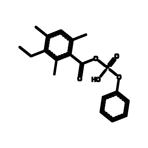 CCc1c(C)cc(C)c(C(=O)OP(=O)(O)Oc2ccccc2)c1C